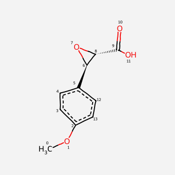 COc1ccc([C@H]2O[C@@H]2C(=O)O)cc1